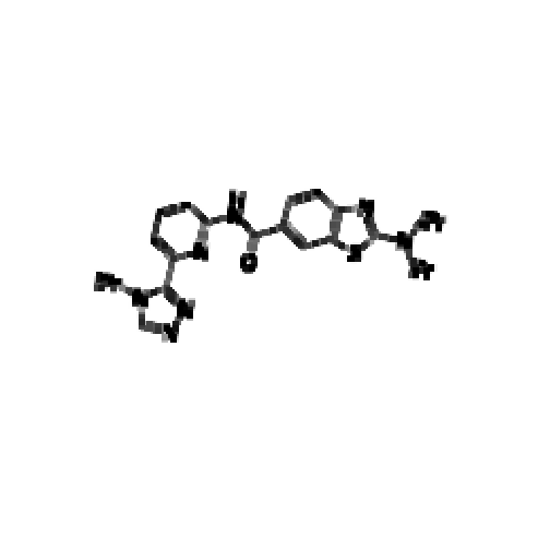 CC(C)N(c1nc2ccc(C(=O)Nc3cccc(-c4nncn4C(C)C)n3)cc2s1)C(C)C